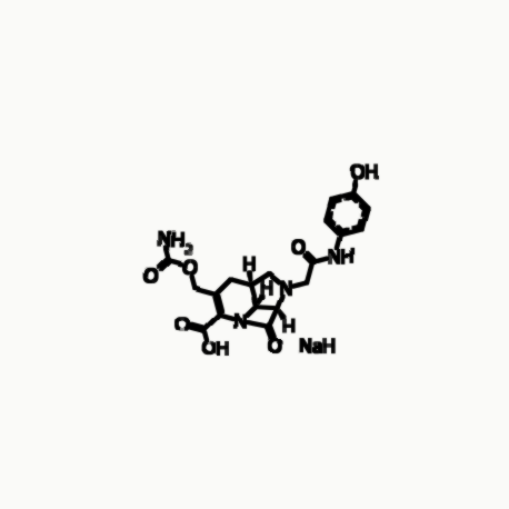 NC(=O)OCC1=C(C(=O)O)N2C(=O)[C@@H]3[C@H]2[C@H](C1)CN3CC(=O)Nc1ccc(O)cc1.[NaH]